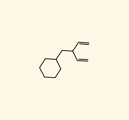 C=C[C](C=C)CC1CCCCC1